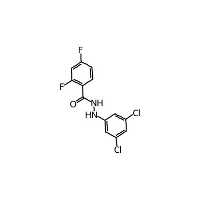 O=C(NNc1cc(Cl)cc(Cl)c1)c1ccc(F)cc1F